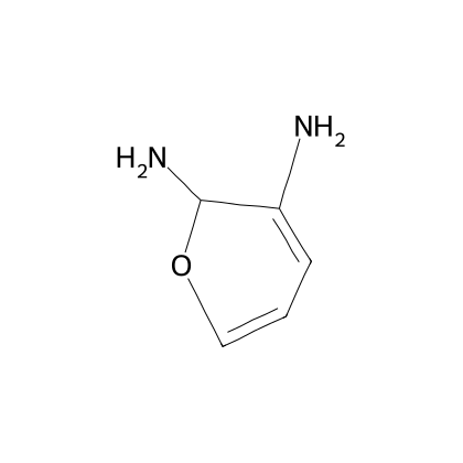 NC1=CC=COC1N